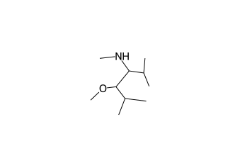 CNC(C(C)C)C(OC)C(C)C